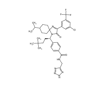 CC(C)C1CCC2(CC1)N=C(c1cc(Cl)cc(C(F)(F)F)c1)C(=O)N2[C@H](CCC(C)(C)C)c1ccc(C(=O)NCc2nn[nH]n2)cc1